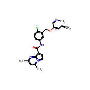 C=C/C=C(\C=N/C)OCc1cc(NC(=O)c2ccn3c(C)cc(C)nc23)ccc1Cl